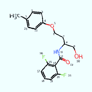 Cc1ccc(OCCC(CO)NC(=O)c2c(F)cccc2F)cc1